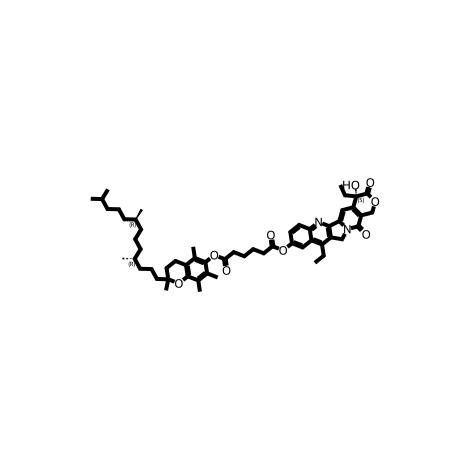 CCc1c2c(nc3ccc(OC(=O)CCCCC(=O)Oc4c(C)c(C)c5c(c4C)CCC(C)(CCC[C@H](C)CCC[C@H](C)CCCC(C)C)O5)cc13)-c1cc3c(c(=O)n1C2)COC(=O)[C@]3(O)CC